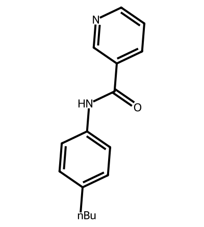 CCCCc1ccc(NC(=O)c2cccnc2)cc1